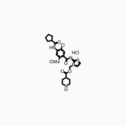 COc1cc(NC(=O)C2CCCC2)c(Cl)cc1C(=O)N=c1sccn1COC(=O)C1CCNCC1.Cl